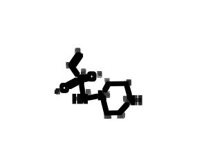 C=CS(=O)(=O)NN1CCNCC1